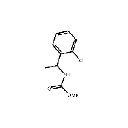 COC(=O)NC(C)c1ccccc1Cl